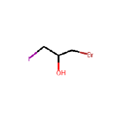 OC(CBr)CI